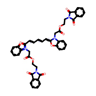 O=C(CN1/C(=C/C=C/C=C/c2oc3ccccc3[n+]2CC(=O)OCCN2C(=O)c3ccccc3C2=O)Oc2ccccc21)OCCN1C(=O)c2ccccc2C1=O